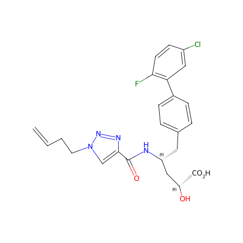 C=CCCn1cc(C(=O)N[C@H](Cc2ccc(-c3cc(Cl)ccc3F)cc2)C[C@@H](O)C(=O)O)nn1